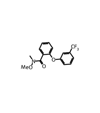 CON(C)C(=O)c1ccccc1Oc1cccc(C(F)(F)F)c1